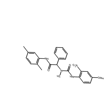 COc1ccc(NC(=O)N(S)C(C(=O)Nc2cc(C)ccc2C)c2ccccc2)c([N+](=O)[O-])c1